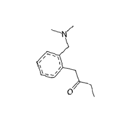 CCC(=O)Cc1ccccc1CN(C)C